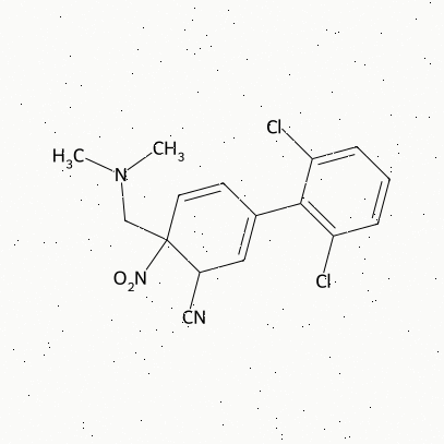 CN(C)CC1([N+](=O)[O-])C=CC(c2c(Cl)cccc2Cl)=CC1C#N